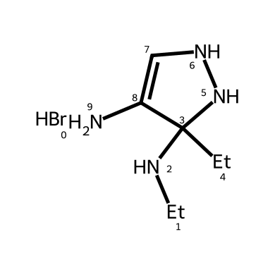 Br.CCNC1(CC)NNC=C1N